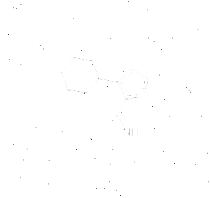 NCc1occc1C1CCCCC1